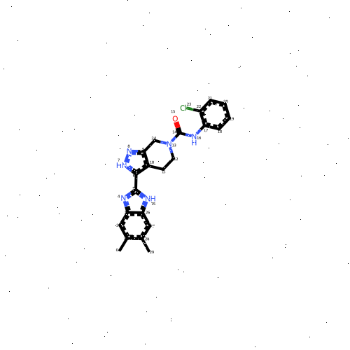 Cc1cc2nc(-c3[nH]nc4c3CCN(C(=O)Nc3ccccc3Cl)C4)[nH]c2cc1C